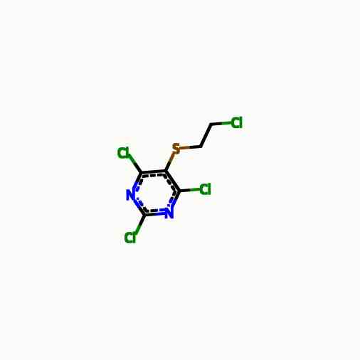 ClCCSc1c(Cl)nc(Cl)nc1Cl